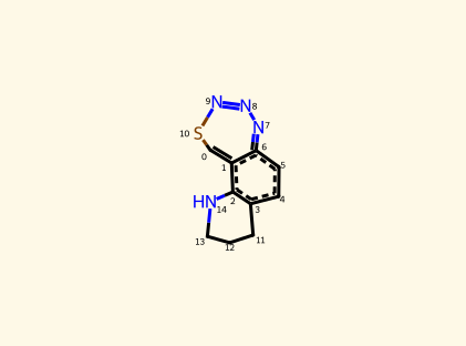 C1=c2c3c(ccc2=NN=NS1)CCCN3